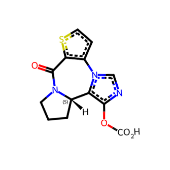 O=C(O)Oc1ncn2c1[C@@H]1CCCN1C(=O)c1sccc1-2